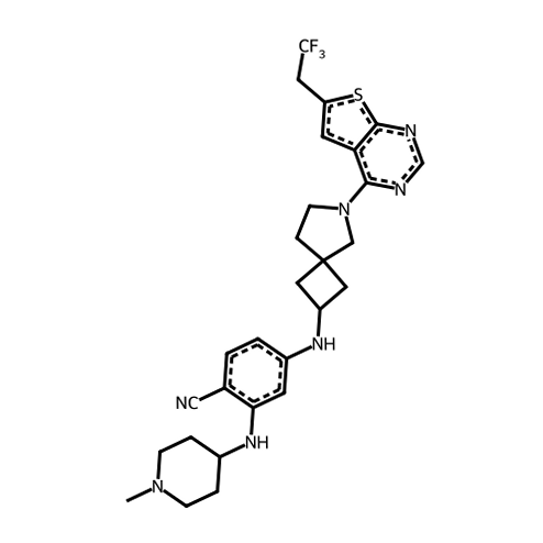 CN1CCC(Nc2cc(NC3CC4(CCN(c5ncnc6sc(CC(F)(F)F)cc56)C4)C3)ccc2C#N)CC1